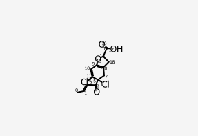 C/C=C/C(=O)C1(Cl)CC2=C(C=C1Cl)OC(C(=O)O)C2